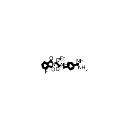 CCO[C@@H](C(=O)NCc1ccc(C(=N)N)cc1)N1C(=O)c2cccc(F)c2C1=O